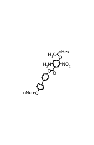 CCCCCCCCCOc1ccc(-c2ccc(OC(=O)c3cc([N+](=O)[O-])c(OC(C)CCCCCC)cc3N)cc2)cc1